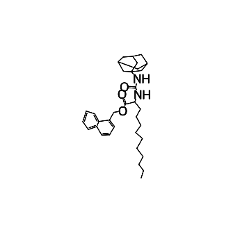 CCCCCCCCCCC(NC(=O)NC12CC3CC(CC(C3)C1)C2)C(=O)OCc1cccc2ccccc12